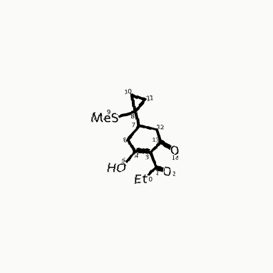 CCC(=O)C1=C(O)CC(C2(SC)CC2)CC1=O